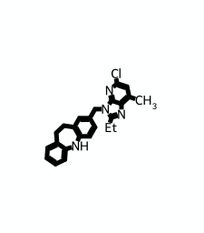 CCc1nc2c(C)cc(Cl)nc2n1Cc1ccc2c(c1)CCc1ccccc1N2